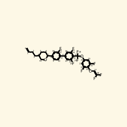 C=CCCC1CCC(c2ccc(-c3cc(F)c(C(F)(F)Oc4cc(F)c(OC=C(F)F)c(F)c4)c(F)c3)c(F)c2)OC1